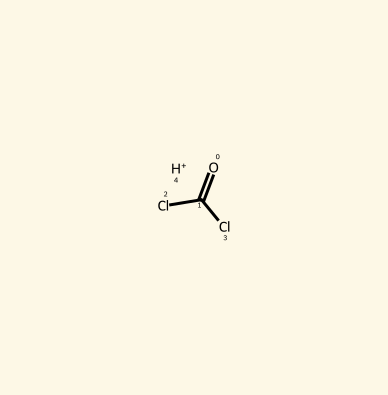 O=C(Cl)Cl.[H+]